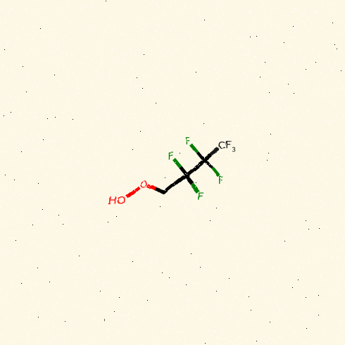 OOCC(F)(F)C(F)(F)C(F)(F)F